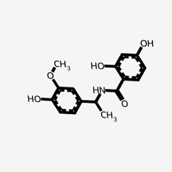 COc1cc(C(C)NC(=O)c2ccc(O)cc2O)ccc1O